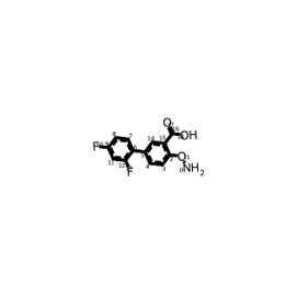 NOc1ccc(-c2ccc(F)cc2F)cc1C(=O)O